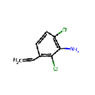 C=Cc1ccc(Cl)c(N)c1Cl